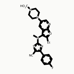 CCc1oc2ncc(N3CCN(C(=O)O)CC3)cc2c1N(C)c1nc(-c2ccc(F)cc2)c(C#N)s1